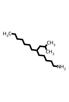 CCCCCCCC(CCCCCN)CC(C)C